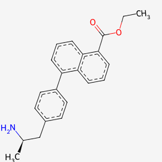 CCOC(=O)c1cccc2c(-c3ccc(C[C@@H](C)N)cc3)cccc12